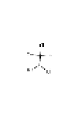 OC(Cl)C(Cl)(Cl)Cl